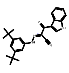 CC(C)(C)c1cc(N/N=C(\C#N)C(=O)c2c[nH]c3ccccc23)cc(C(C)(C)C)c1